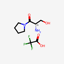 N[C@@H](CO)C(=O)N1CCCC1.O=C(O)C(F)(F)F